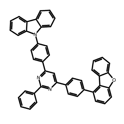 c1ccc(-c2nc(-c3ccc(-c4cccc5oc6ccccc6c45)cc3)cc(-c3ccc(-n4c5ccccc5c5ccccc54)cc3)n2)cc1